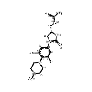 CC(=O)N1CCN(c2c(F)cc(N3C[C@H](CNC(=S)C(C)C)OC3=O)cc2F)CC1